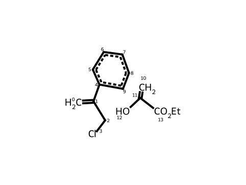 C=C(CCl)c1ccccc1.C=C(O)C(=O)OCC